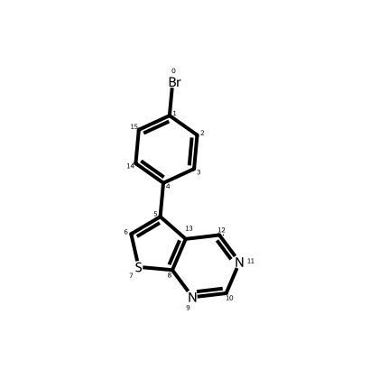 Brc1ccc(-c2csc3ncn[c]c23)cc1